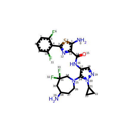 Nc1sc(-c2c(F)cccc2F)nc1C(=O)Nc1cnn(C2CC2)c1N1CCC(N)CC(F)(F)C1